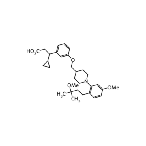 COc1ccc(CCC(C)(C)OC)c(N2CCC(COc3cccc(C(CC(=O)O)C4CC4)c3)CC2)c1